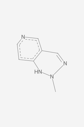 CN1N=Cc2cnccc2N1